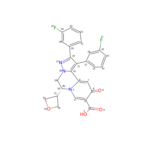 O=C(O)c1cn2c(cc1=O)-c1c(-c3cccc(F)c3)c(-c3cccc(F)c3)nn1C[C@H]2C1COC1